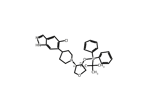 CC(C)(C)[Si](O[C@H]1COC[C@H]1N1CCC(c2cc3[nH]ncc3cc2Cl)CC1)(c1ccccc1)c1ccccc1